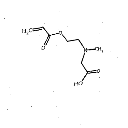 C=CC(=O)OCCN(C)CC(=O)O